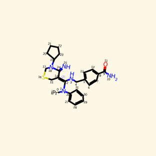 CC(C)N(/C(NCc1ccc(C(N)=O)cc1)=C1\CSCN(C2CCCC2)C1=N)c1ccccc1